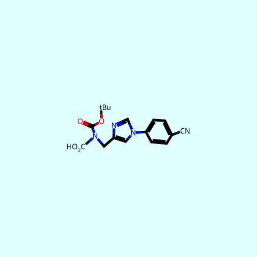 CC(C)(C)OC(=O)N(Cc1cn(-c2ccc(C#N)cc2)cn1)C(=O)O